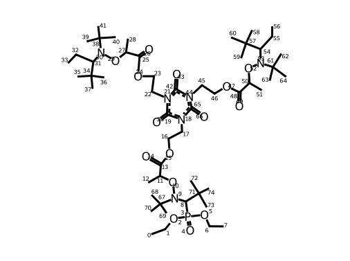 CCOP(=O)(OCC)C(N(OC(C)C(=O)OCCn1c(=O)n(CCOC(=O)C(C)ON(C(CC)C(C)(C)C)C(C)(C)C)c(=O)n(CCOC(=O)C(C)ON(C(CC)C(C)(C)C)C(C)(C)C)c1=O)C(C)(C)C)C(C)(C)C